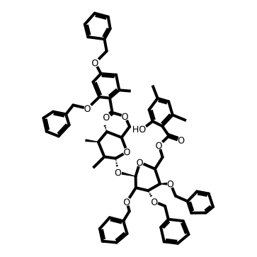 Cc1cc(C)c(C(=O)OCC2O[C@H](O[C@H]3OC(COC(=O)c4c(C)cc(OCc5ccccc5)cc4OCc4ccccc4)[C@@H](C)[C@H](C)C3C)C(OCc3ccccc3)[C@@H](OCc3ccccc3)[C@@H]2OCc2ccccc2)c(O)c1